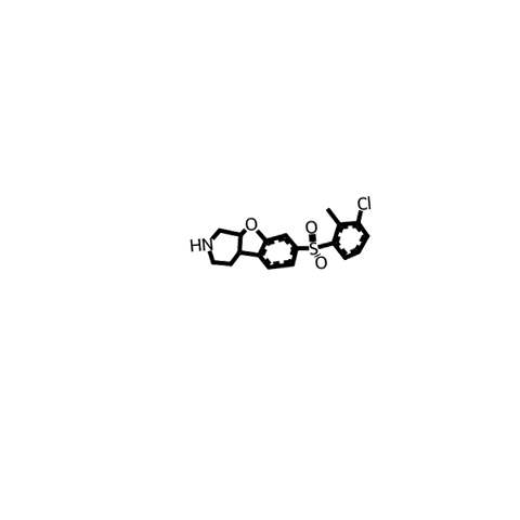 Cc1c(Cl)cccc1S(=O)(=O)c1ccc2c(c1)OC1CNCCC21